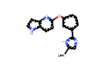 O=Cc1cnc(-c2cccc(Oc3ccc4[nH]ccc4n3)c2)[nH]1